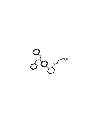 O=C(O)CCOC1CCCCC1c1ccc(N(Cc2ccccc2)Cc2ccccc2)cc1